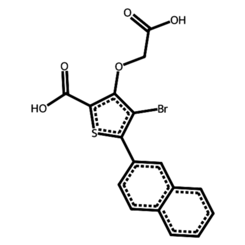 O=C(O)COc1c(C(=O)O)sc(-c2ccc3ccccc3c2)c1Br